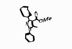 COC(=O)c1c(-c2ccccc2)nn(-c2ccccc2)c1C